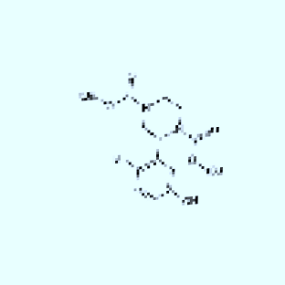 CC(C)(C)OC(=O)N1CCN(C(=O)OC(C)(C)C)C(c2cc(O)ccc2Br)C1